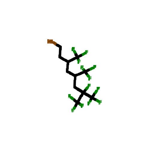 FC(F)(F)C(CCS)CC(CC(F)(C(F)(F)F)C(F)(F)F)C(F)(F)F